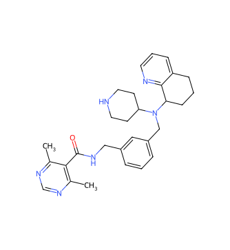 Cc1ncnc(C)c1C(=O)NCc1cccc(CN(C2CCNCC2)C2CCCc3cccnc32)c1